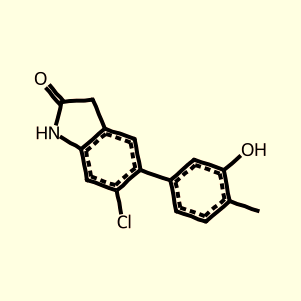 Cc1ccc(-c2cc3c(cc2Cl)NC(=O)C3)cc1O